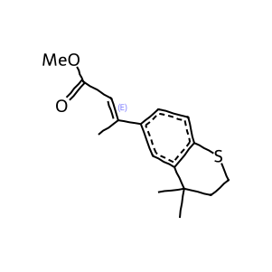 COC(=O)/C=C(\C)c1ccc2c(c1)C(C)(C)CCS2